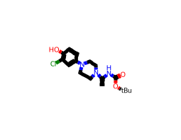 C=C(NC(=O)OC(C)(C)C)N1CCN(c2ccc(O)c(Cl)c2)CC1